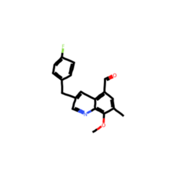 COc1c(C)cc(C=O)c2cc(Cc3ccc(F)cc3)cnc12